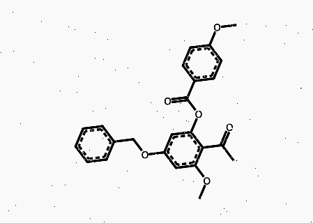 [CH2]C(=O)c1c(OC)cc(OCc2ccccc2)cc1OC(=O)c1ccc(OC)cc1